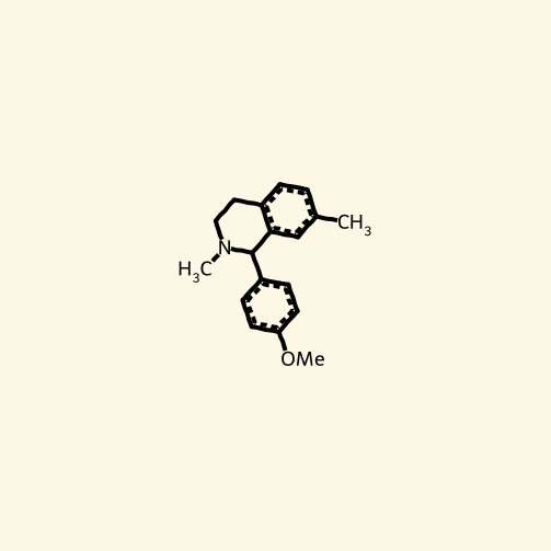 COc1ccc(C2c3cc(C)ccc3CCN2C)cc1